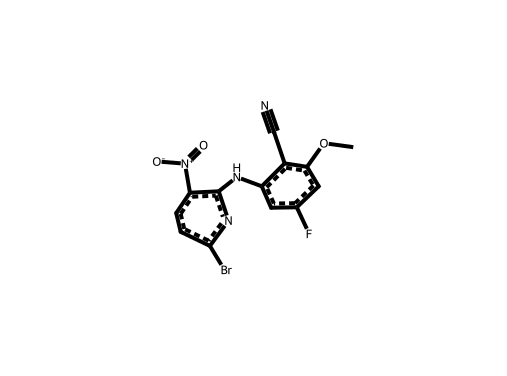 COc1cc(F)cc(Nc2nc(Br)ccc2[N+](=O)[O-])c1C#N